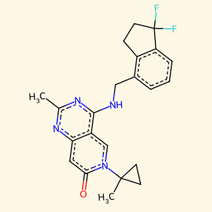 Cc1nc(NCc2cccc3c2CCC3(F)F)c2cn(C3(C)CC3)c(=O)cc2n1